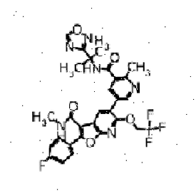 CNC(=O)c1c(-c2ccc(F)cc2)oc2nc(OCC(F)(F)F)c(-c3cnc(C)c(C(=O)NC(C)(C)c4ncon4)c3)cc12